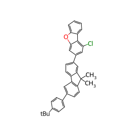 CC(C)(C)c1ccc(-c2ccc3c(c2)-c2ccc(-c4cc(Cl)c5c(c4)oc4ccccc45)cc2C3(C)C)cc1